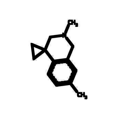 Cc1ccc2c(c1)CN(C)CC21CC1